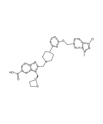 Cn1nc(Cl)c2ccc(COc3cccc(C4CCN(Cc5nc6ccc(C(=O)O)cc6n5C[C@@H]5CCO5)CC4)n3)cc21